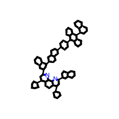 c1ccc(-c2cc(-c3ccc4ccccc4c3)nc3c2ccc2c(-c4ccccc4)cc(-c4cc(-c5ccc6cc(-c7ccc(-c8c9ccccc9c(-c9cccc%10ccccc9%10)c9ccccc89)cc7)ccc6c5)c5ccccc5c4)nc23)cc1